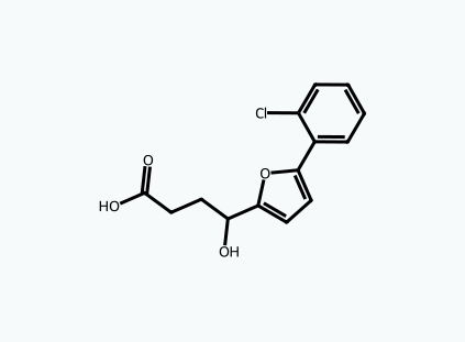 O=C(O)CCC(O)c1ccc(-c2ccccc2Cl)o1